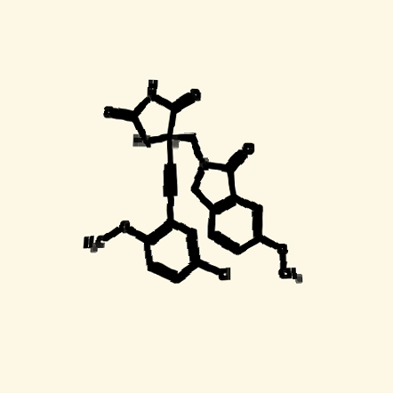 COc1ccc2c(c1)C(=O)N(C[C@@]1(C#Cc3cc(Cl)ccc3OC)NC(=O)NC1=O)C2